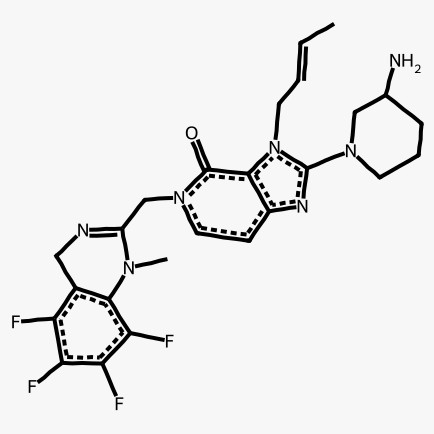 CC=CCn1c(N2CCCC(N)C2)nc2ccn(CC3=NCc4c(F)c(F)c(F)c(F)c4N3C)c(=O)c21